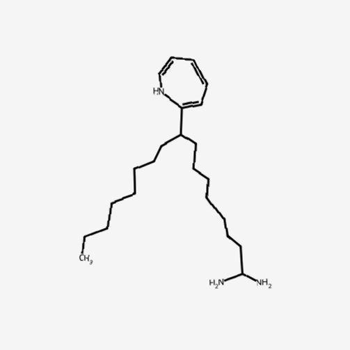 CCCCCCCCC(CCCCCCCC(N)N)C1=CC=CC=CN1